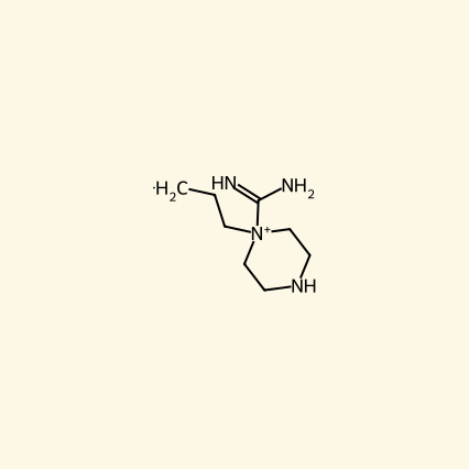 [CH2]CC[N+]1(C(=N)N)CCNCC1